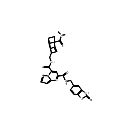 CN(C)C(=O)C12CC3C1C1C2=CC31CNC(=O)c1cc(C(=O)NCc2ccc3oc(=O)[nH]c3c2)nc2ccnn12